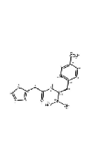 O=C(Cc1cccs1)N[C@@H](Cc1ccc(C(=O)O)cn1)B(O)O